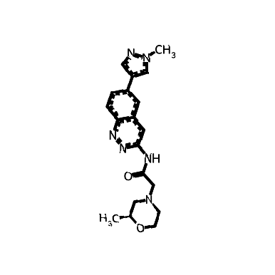 C[C@H]1CN(CC(=O)Nc2cc3cc(-c4cnn(C)c4)ccc3nn2)CCO1